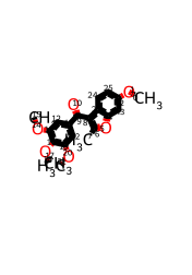 COc1[c]c2oc(C)c(C(=O)c3cc(OC)c(OC)c(OC)c3)c2cc1